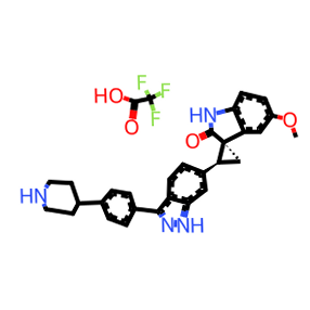 COc1ccc2c(c1)[C@]1(C[C@H]1c1ccc3c(-c4ccc(C5CCNCC5)cc4)n[nH]c3c1)C(=O)N2.O=C(O)C(F)(F)F